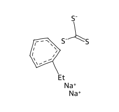 CCc1ccccc1.S=C([S-])[S-].[Na+].[Na+]